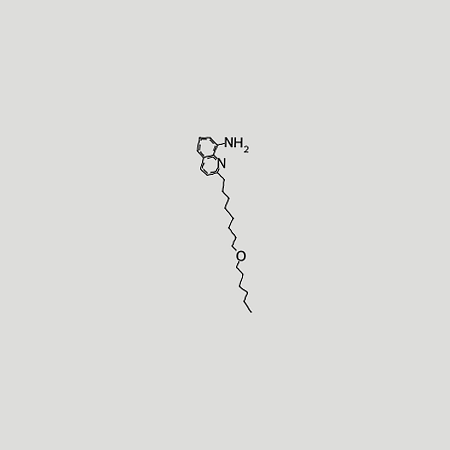 CCCCCCOCCCCCCCCc1ccc2cccc(N)c2n1